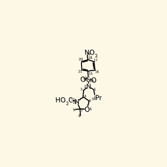 CC(C)CN(CC1COC(C)(C)N1C(=O)O)S(=O)(=O)c1ccc([N+](=O)[O-])cc1